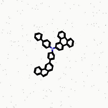 c1ccc(-c2ccc(N(c3ccc(-c4ccc5ccc6ccccc6c5c4)cc3)c3ccc4c5ccccc5c5ccccc5c4c3)cc2)cc1